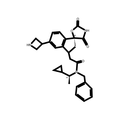 C[C@@H](C1CC1)N(Cc1ccccc1)C(=O)CC1C[C@@]2(OC(=O)NC2=O)c2ccc(C3CNC3)cc21